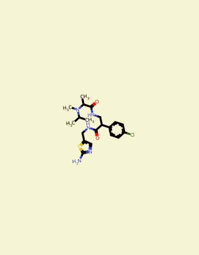 CC(C)N(C)C(C)C(=O)NCC(C(=O)NCc1cnc(N)s1)c1ccc(Cl)cc1